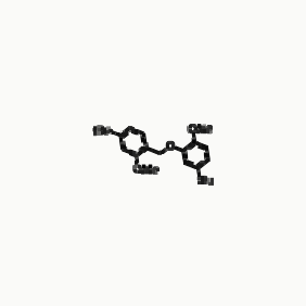 COc1cc(C(C)(C)C)ccc1COc1cc(C(C)(C)C)ccc1OC